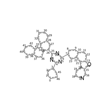 c1ccc(-c2nc(-c3ccc4ccc5oc6cnccc6c5c4c3)nc(-c3cc4ccccc4c4c3ccc3ccccc34)n2)cc1